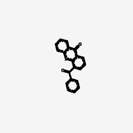 O=C(c1ccccc1)c1cccc2c(=O)c3ccccc3sc12